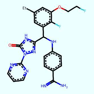 CCc1cc(OCCF)c(F)c(C(Nc2ccc(C(=N)N)cc2)c2nn(-c3ncccn3)c(=O)[nH]2)c1